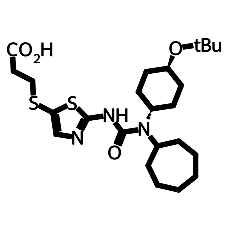 CC(C)(C)O[C@H]1CC[C@H](N(C(=O)Nc2ncc(SCCC(=O)O)s2)C2CCCCCC2)CC1